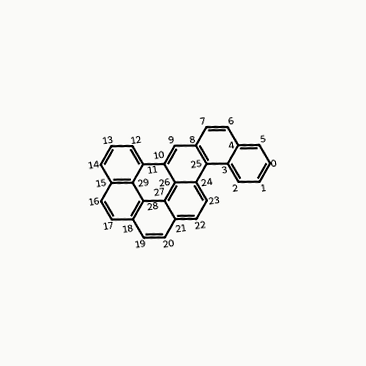 c1ccc2c(c1)ccc1cc3c4cccc5ccc6ccc7ccc(c12)c3c7c6c54